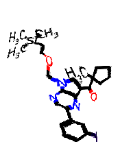 CC1(C(=O)c2cn(COCC[Si](C)(C)C)c3ncc(-c4cccc(I)c4)nc23)CCCC1